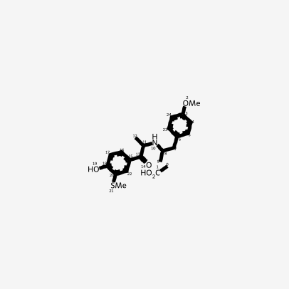 CC(=O)O.COc1ccc(CC(C)NC(C)C(=O)c2ccc(O)c(SC)c2)cc1